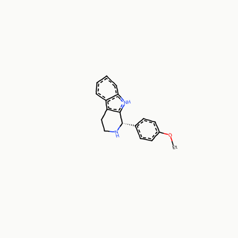 CCOc1ccc([C@@H]2NCCc3c2[nH]c2ccccc32)cc1